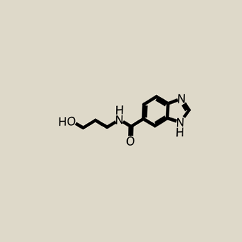 O=C(NCCCO)c1ccc2nc[nH]c2c1